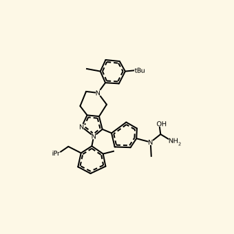 Cc1ccc(C(C)(C)C)cc1N1CCc2nn(-c3c(C)cccc3CC(C)C)c(-c3ccc(N(C)C(N)O)cc3)c2C1